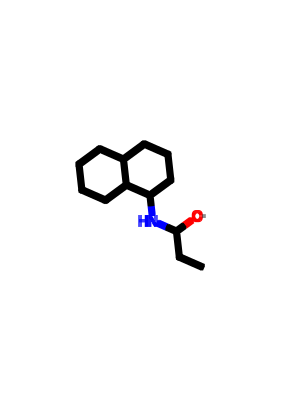 CCC([O])NC1CCCC2CCCCC21